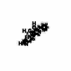 Cn1c2c(c3sc(Cc4n[nH]cc4F)nc31)C=NN(Cc1ccccc1)C2O